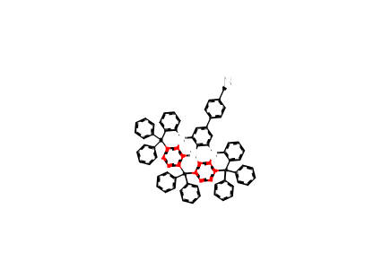 N#Cc1ccc(-c2cc(N3c4ccccc4C(c4ccccc4)(c4ccccc4)c4ccccc43)c(N3c4ccccc4C(c4ccccc4)(c4ccccc4)c4ccccc43)c(N3c4ccccc4C(c4ccccc4)(c4ccccc4)c4ccccc43)c2)cc1